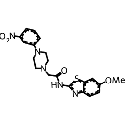 COc1ccc2nc(NC(=O)CN3CCN(c4cccc([N+](=O)[O-])c4)CC3)sc2c1